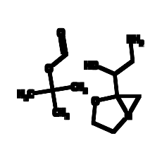 CC(C)(C)OC=O.NCC(O)C12CN1CCO2